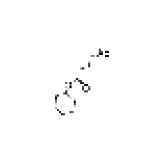 CC(=O)CCCC(=O)OC1CCCCC1